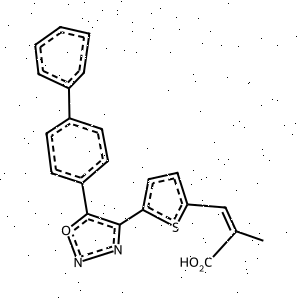 C/C(=C/c1ccc(-c2nnoc2-c2ccc(-c3ccccc3)cc2)s1)C(=O)O